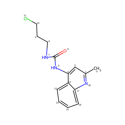 Cc1cc(NC(=O)NCCCCl)c2ccccc2n1